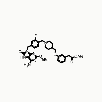 CCCCOc1nc(N)c2[nH]c(=O)n(Cc3ccc(CN4CCC(COc5cccc(CC(=O)OC)c5)CC4)c(F)c3)c2n1